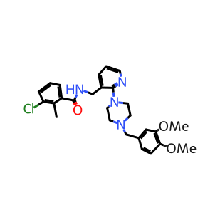 COc1ccc(CN2CCN(c3ncccc3CNC(=O)c3cccc(Cl)c3C)CC2)cc1OC